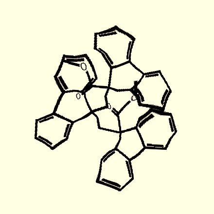 COC(=O)C1(CC2(CC3(C(=O)OC)c4ccccc4-c4ccccc43)c3ccccc3-c3ccccc32)c2ccccc2-c2ccccc21